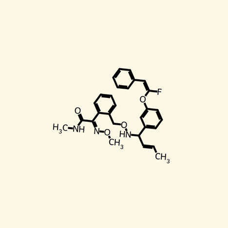 CC=CC(NOCc1ccccc1/C(=N\OC)C(=O)NC)c1cccc(O/C(F)=C\c2ccccc2)c1